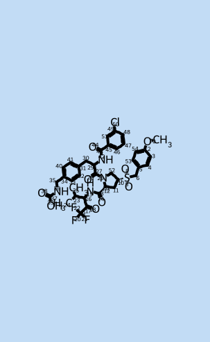 COc1ccc(CS(=O)(=O)[C@@H]2C[C@@H](C(=O)NC(C(=O)C(F)(F)F)C(C)C)N(C(=O)C(Cc3ccc(CNC(=O)O)cc3)NC(=O)c3cccc(Cl)c3)C2)cc1